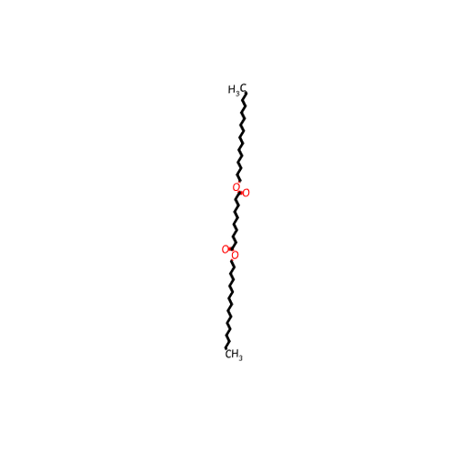 CCCCCCCCCCCCCCCCOC(=O)CCCCCCCCC(=O)OCCCCCCCCCCCCCCCC